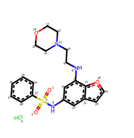 Cl.O=S(=O)(Nc1cc(NCCN2CCOCC2)c2occc2c1)c1ccccc1